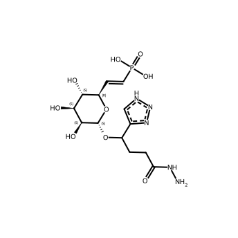 NNC(=O)CCC(O[C@H]1O[C@H](C=CP(=O)(O)O)[C@@H](O)[C@H](O)[C@@H]1O)c1c[nH]nn1